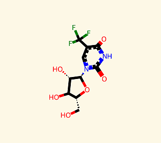 O=c1[nH]c(=O)n([C@@H]2O[C@H](CO)C(O)[C@@H]2O)cc1C(F)(F)F